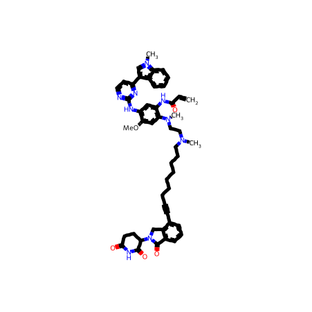 C=CC(=O)Nc1cc(Nc2nccc(-c3cn(C)c4ccccc34)n2)c(OC)cc1N(C)CCN(C)CCCCCCCC#Cc1cccc2c1CN(C1CCC(=O)NC1=O)C2=O